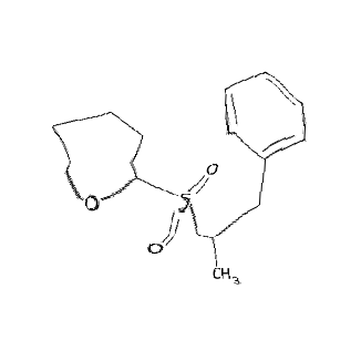 CC(Cc1ccccc1)S(=O)(=O)C1CCCCO1